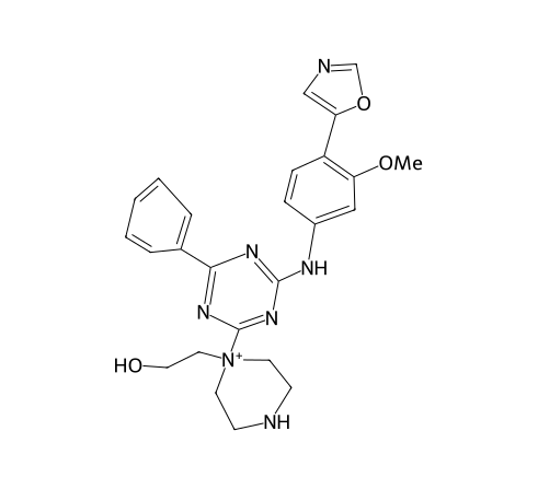 COc1cc(Nc2nc(-c3ccccc3)nc([N+]3(CCO)CCNCC3)n2)ccc1-c1cnco1